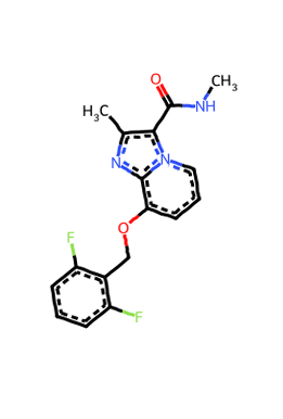 CNC(=O)c1c(C)nc2c(OCc3c(F)cccc3F)cccn12